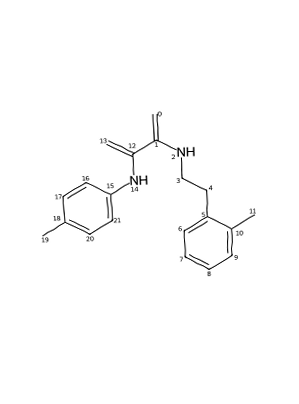 C=C(NCCc1ccccc1C)C(=C)Nc1ccc(C)cc1